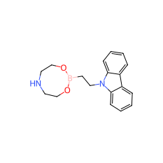 c1ccc2c(c1)c1ccccc1n2CCB1OCCNCCO1